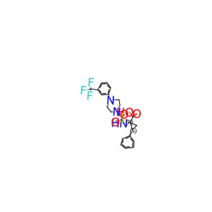 O=C(O)[C@@]1(NS(=O)(=O)N2CCN(c3cccc(C(F)(F)F)c3)CC2)C[C@H]1c1ccccc1